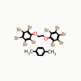 Brc1c(Br)c(Br)c(OCCOc2c(Br)c(Br)c(Br)c(Br)c2Br)c(Br)c1Br.Cc1ccc(C)cc1